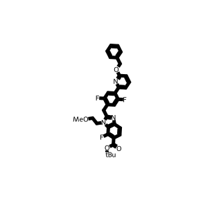 COCCn1c(Cc2cc(F)c(-c3cccc(OCc4ccccc4)n3)cc2F)nc2ccc(C(=O)OC(C)(C)C)c(F)c21